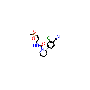 C[C@@H]1CCN(C(=O)N[C@H](C)/C=C\S(C)(=O)=O)[C@H](c2ccc(C#N)c(Cl)c2)C1